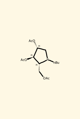 CCCCN1C[C@@H](OC(C)=O)[C@H](OC(C)=O)[C@H]1COC(C)=O